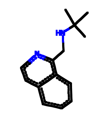 CC(C)(C)NCc1nccc2ccccc12